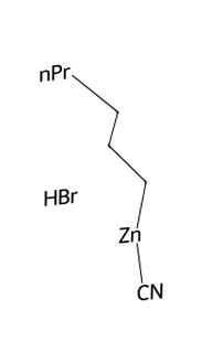 Br.CCCCC[CH2][Zn][C]#N